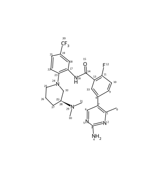 Cc1nc(N)ncc1-c1ccc(F)c(C(=O)Nc2cc(C(F)(F)F)ccc2N2CCC[C@H](N(C)C)C2)c1